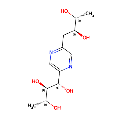 C[C@@H](O)[C@@H](O)[C@@H](O)c1cnc(C[C@H](O)[C@@H](C)O)cn1